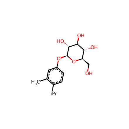 Cc1cc(O[C@@H]2O[C@H](CO)[C@@H](O)[C@H](O)[C@H]2O)ccc1C(C)C